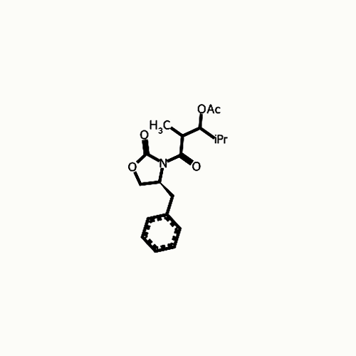 CC(=O)OC(C(C)C)C(C)C(=O)N1C(=O)OC[C@@H]1Cc1ccccc1